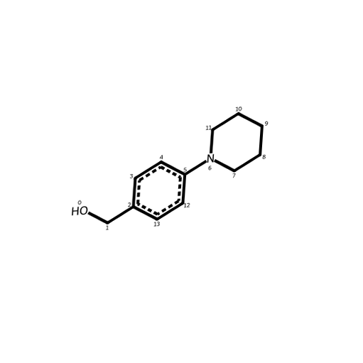 OCc1ccc(N2CCCCC2)cc1